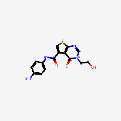 Nc1ccc(NC(=O)c2csc3ncn(CCO)c(=O)c23)cc1